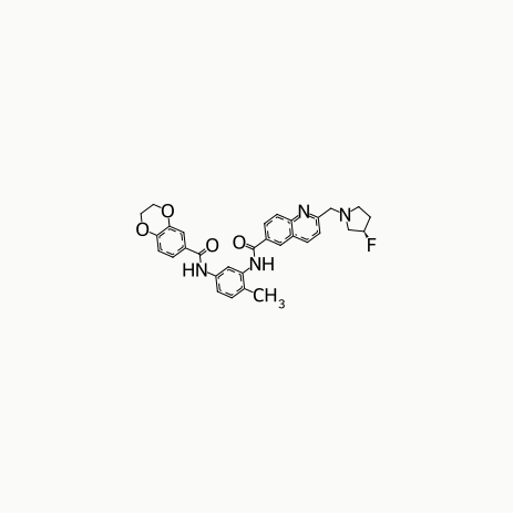 Cc1ccc(NC(=O)c2ccc3c(c2)OCCO3)cc1NC(=O)c1ccc2nc(CN3CC[C@@H](F)C3)ccc2c1